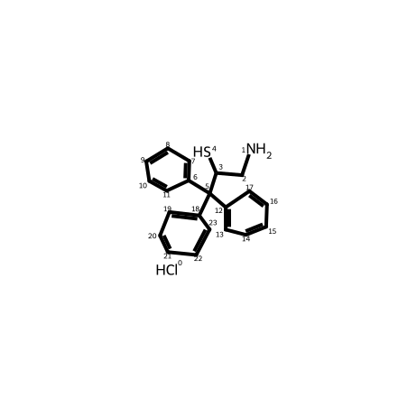 Cl.NCC(S)C(c1ccccc1)(c1ccccc1)c1ccccc1